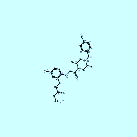 CCOC(=O)CC(=O)NCc1cc(Cl)ccc1OCC(=O)N1CC(C)N(Cc2ccc(F)cc2)CC1C